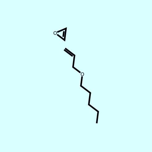 C1=CO1.C=CCOCCCCC